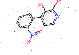 O=[N+]([O-])c1ccccc1-c1ccnc(O)c1O